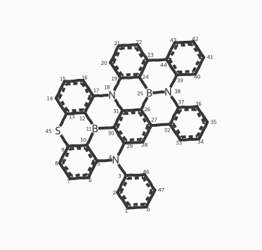 c1ccc(N2c3cccc4c3B3c5c(cccc5N5c6cccc7c6B6c8c(cc2c3c85)-c2ccccc2N6c2ccccc2-7)S4)cc1